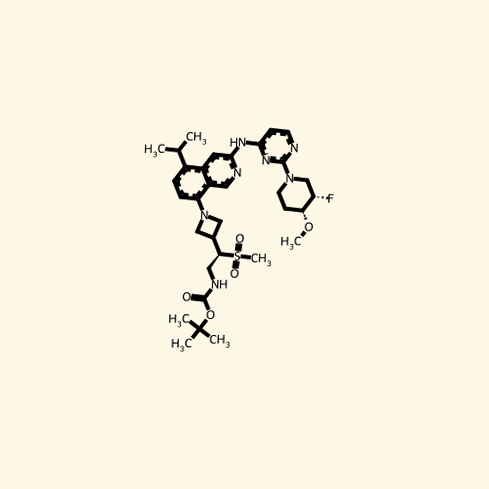 CO[C@@H]1CCN(c2nccc(Nc3cc4c(C(C)C)ccc(N5CC([C@H](CNC(=O)OC(C)(C)C)S(C)(=O)=O)C5)c4cn3)n2)C[C@@H]1F